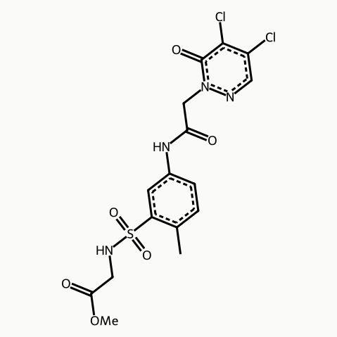 COC(=O)CNS(=O)(=O)c1cc(NC(=O)Cn2ncc(Cl)c(Cl)c2=O)ccc1C